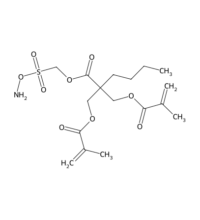 C=C(C)C(=O)OCC(CCCC)(COC(=O)C(=C)C)C(=O)OCS(=O)(=O)ON